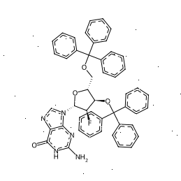 Nc1nc2c(ncn2[C@@H]2O[C@H](COC(c3ccccc3)(c3ccccc3)c3ccccc3)[C@@H](OC(c3ccccc3)(c3ccccc3)c3ccccc3)[C@H]2F)c(=O)[nH]1